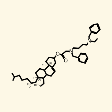 CCN(CCCCN(CC(=O)OC1CC[C@@]2(C)C(=CCC3C2CC[C@@]2(C)C3CC[C@@H]2[C@H](C)CCCC(C)C)C1)Cc1ccccc1)Cc1ccccc1